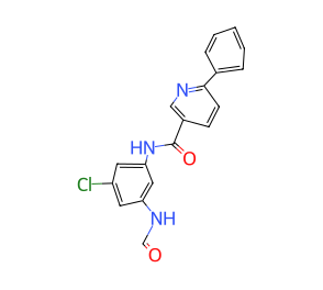 O=CNc1cc(Cl)cc(NC(=O)c2ccc(-c3ccccc3)nc2)c1